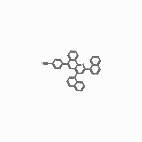 N#Cc1ccc(-c2cc3c(-c4cccc5ccccc45)cc(-c4cccc5ccccc45)nc3c3ccccc23)cc1